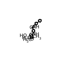 CC1(C)OCC(C)(C(=O)Nc2ccc(C(=O)NCc3ccc(-c4ccccc4)cc3)cc2)N1C(=O)O